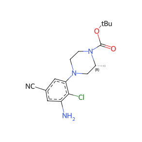 C[C@@H]1CN(c2cc(C#N)cc(N)c2Cl)CCN1C(=O)OC(C)(C)C